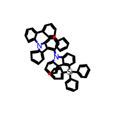 c1ccc(-c2cccc(-c3ccccc3-n3c4ccccc4c4c(-n5c6ccccc6c6c([Si](c7ccccc7)(c7ccccc7)c7ccccc7)cccc65)cccc43)c2)cc1